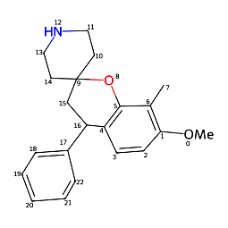 COc1ccc2c(c1C)OC1(CCNCC1)CC2c1ccccc1